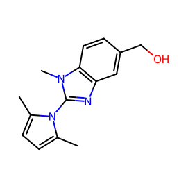 Cc1ccc(C)n1-c1nc2cc(CO)ccc2n1C